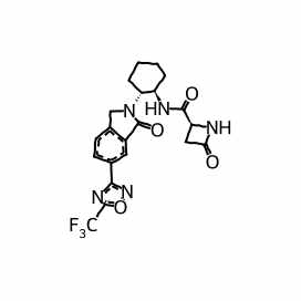 O=C1C[C@@H](C(=O)N[C@@H]2CCCC[C@H]2N2Cc3ccc(-c4noc(C(F)(F)F)n4)cc3C2=O)N1